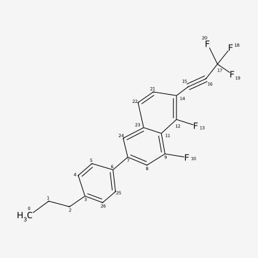 CCCc1ccc(-c2cc(F)c3c(F)c(C#CC(F)(F)F)ccc3c2)cc1